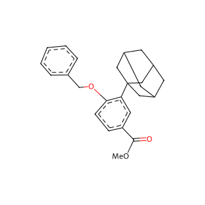 COC(=O)c1ccc(OCc2ccccc2)c(C23CC4CC(CC(C4)C2)C3)c1